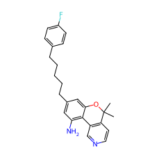 CC1(C)Oc2cc(CCCCCc3ccc(F)cc3)cc(N)c2-c2cnccc21